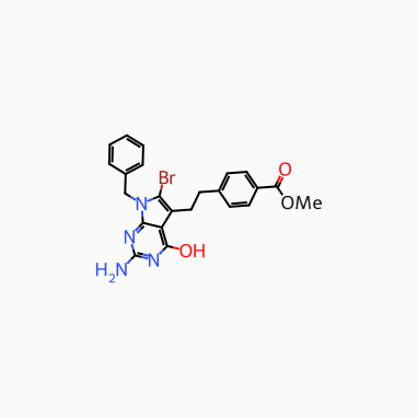 COC(=O)c1ccc(CCc2c(Br)n(Cc3ccccc3)c3nc(N)nc(O)c23)cc1